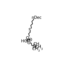 CCCCCCCCCCCCCCCSCCCOP(=O)(O)OCC[N+](C)(C)C